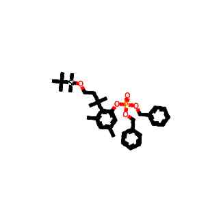 Cc1cc(C)c(C(C)(C)CCO[Si](C)(C)C(C)(C)C)c(OP(=O)(OCc2ccccc2)OCc2ccccc2)c1